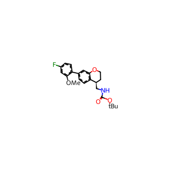 COc1cc(F)ccc1-c1ccc2c(c1)OCC[C@H]2CNC(=O)OC(C)(C)C